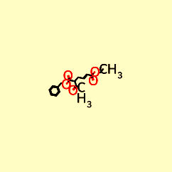 CCOC(=O)/C=C/CC(C(C)=O)C(=O)OCc1ccccc1